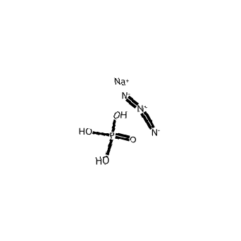 O=P(O)(O)O.[N-]=[N+]=[N-].[Na+]